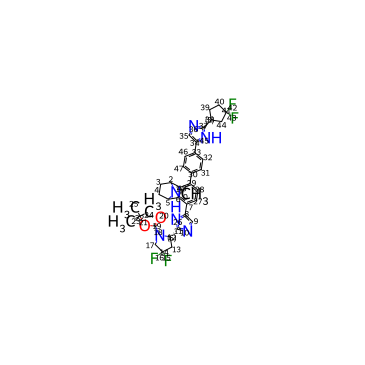 CN1C2CCC1c1c(-c3cnc([C@@H]4CC(F)(F)CN4C(=O)OC(C)(C)C)[nH]3)ccc(-c3ccc(-c4cnc([C@H]5CCC(F)(F)C5)[nH]4)cc3)c12